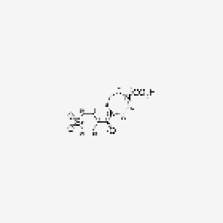 O=C(O)N1CCCN(C(=O)C2CCS(=O)(=O)CC2)CC1